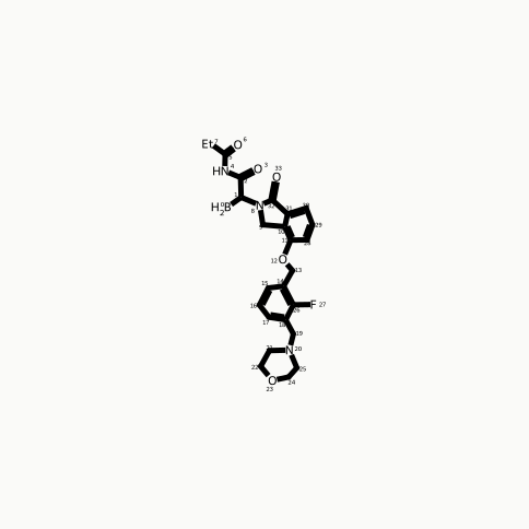 BC(C(=O)NC(=O)CC)N1Cc2c(OCc3cccc(CN4CCOCC4)c3F)cccc2C1=O